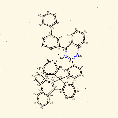 c1ccc(-c2cccc(-c3nc(-c4cccc5c4-c4ccccc4C54c5ccccc5-c5c4c4ccccc4c4ccccc54)nc4ccccc34)c2)cc1